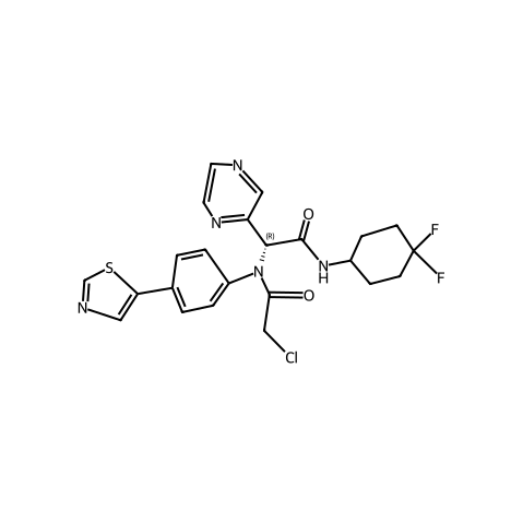 O=C(NC1CCC(F)(F)CC1)[C@@H](c1cnccn1)N(C(=O)CCl)c1ccc(-c2cncs2)cc1